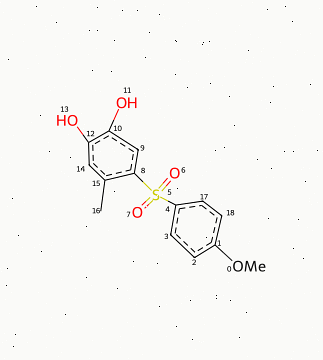 COc1ccc(S(=O)(=O)c2cc(O)c(O)cc2C)cc1